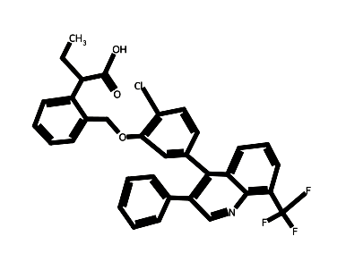 CCC(C(=O)O)c1ccccc1COc1cc(-c2c(-c3ccccc3)cnc3c(C(F)(F)F)cccc23)ccc1Cl